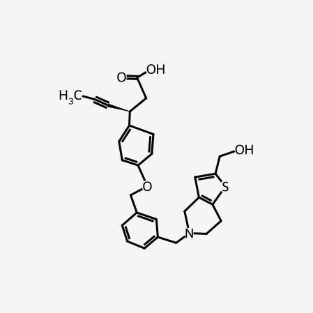 CC#C[C@@H](CC(=O)O)c1ccc(OCc2cccc(CN3CCc4sc(CO)cc4C3)c2)cc1